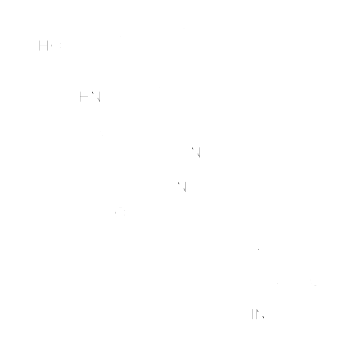 C=C(N[C@@H]1C(CO)CC2CCCC1C2)c1cnn(/C=C/C(C)(C)C(=O)NC)c1OCC(C)C